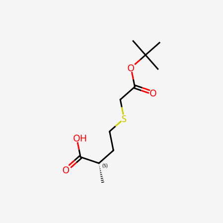 C[C@@H](CCSCC(=O)OC(C)(C)C)C(=O)O